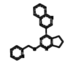 c1ccc(COc2cc(-c3cnc4ccccc4c3)c3c(n2)CCC3)nc1